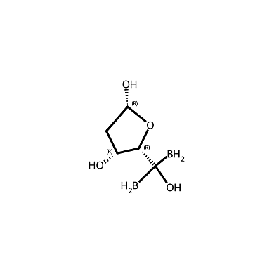 BC(B)(O)[C@H]1O[C@@H](O)C[C@H]1O